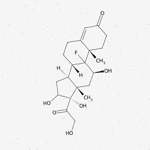 C[C@]12CCC(=O)C=C1CC[C@H]1[C@@H]3CC(O)[C@](O)(C(=O)CO)[C@@]3(C)C[C@H](O)C12F